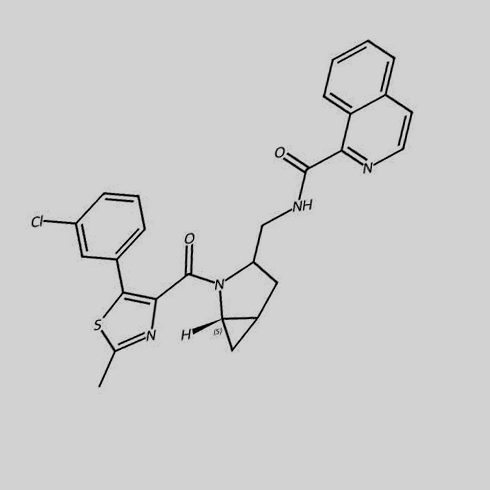 Cc1nc(C(=O)N2C(CNC(=O)c3nccc4ccccc34)CC3C[C@@H]32)c(-c2cccc(Cl)c2)s1